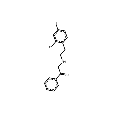 O=C(CNCCc1ccc(Cl)cc1Cl)c1ccccc1